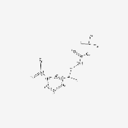 CC(CNC(=O)OC(C)(C)C)c1cccc([N+](=O)[O-])c1